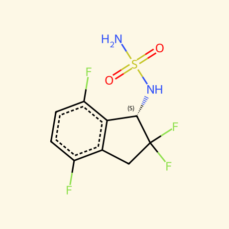 NS(=O)(=O)N[C@H]1c2c(F)ccc(F)c2CC1(F)F